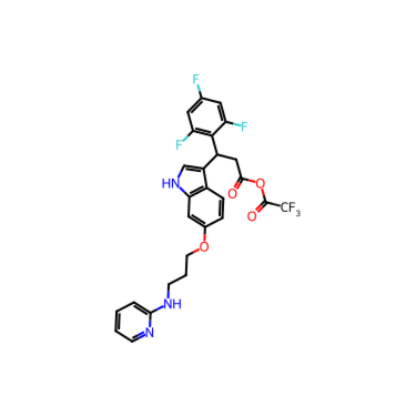 O=C(CC(c1c(F)cc(F)cc1F)c1c[nH]c2cc(OCCCNc3ccccn3)ccc12)OC(=O)C(F)(F)F